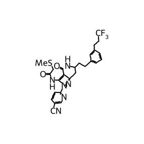 CSCC(=O)Nc1c2c(nn1-c1ccc(C#N)cn1)CC(CCc1cccc(CCC(F)(F)F)c1)NC2=O